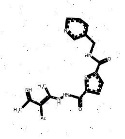 CC(=N)/C(C(C)=O)=C(\C)NNC(=O)c1ccc(C(=O)NCc2cccnc2)s1